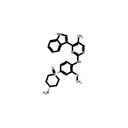 COc1cc([P@]2(=O)CC[C@H](N)CC2)ccc1Nc1ncc(C)c(-c2c[nH]c3ccccc23)n1